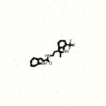 Cc1[nH]c2c(C(F)(F)F)cccc2c1CCNC(=O)c1cc2ccccc2[nH]1